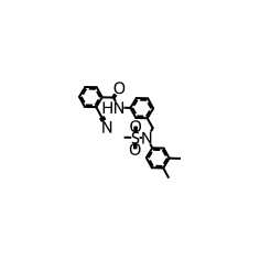 Cc1ccc(N(Cc2cccc(NC(=O)c3ccccc3C#N)c2)S(C)(=O)=O)cc1C